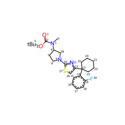 CN(C(=O)OC(C)(C)C)C1CCN(c2nc(C3(c4ccccc4F)CCCCC3)cs2)C1